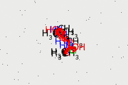 Cc1ncsc1-c1ccc([C@H](C)NC(=O)[C@@H]2C[C@@H](O)CN2C(=O)[C@@H](NC(=O)COCCOCCOCCOCCN(C)C(=O)CCNc2nc(C3CCN(C(=O)OC(C)(C)C)CC3)c3cc(Cl)c(-c4cc(O)cc5ccccc45)c(F)c3n2)C(C)(C)C)cc1